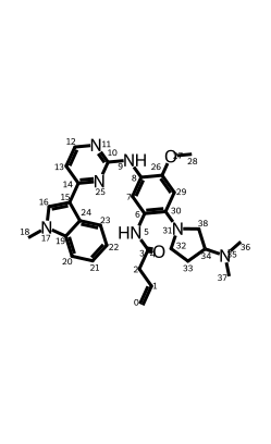 C=CCC(=O)Nc1cc(Nc2nccc(-c3cn(C)c4ccccc34)n2)c(OC)cc1N1CCC(N(C)C)C1